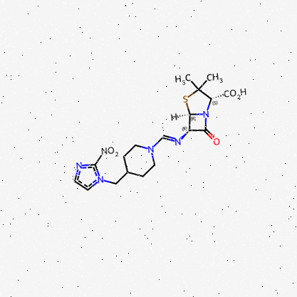 CC1(C)S[C@@H]2[C@H](N=CN3CCC(Cn4ccnc4[N+](=O)[O-])CC3)C(=O)N2[C@H]1C(=O)O